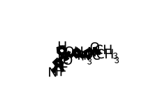 CC(C)(C)C(=O)N1CCN(Cc2cccc(CC(O)(C(=O)Nc3ccc(C#N)c(C(F)(F)F)c3)C3CCCCC3)c2)CC1